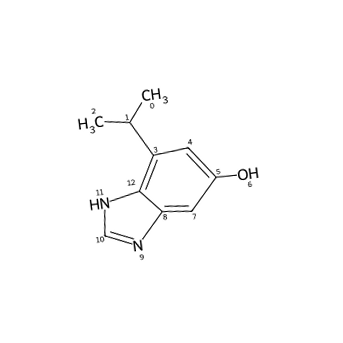 CC(C)c1cc(O)cc2nc[nH]c12